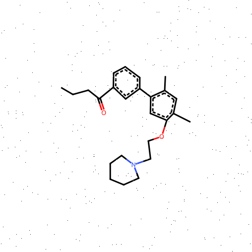 CCCC(=O)c1cccc(-c2cc(OCCN3CCCCC3)c(C)cc2C)c1